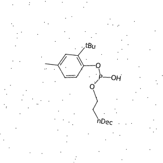 CCCCCCCCCCCCOP(O)Oc1ccc(C)cc1C(C)(C)C